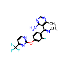 C/N=C(/c1ccc(Oc2nccc(C(F)(F)F)n2)cc1F)c1c(C)ncnc1N